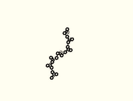 c1ccc(-n2c3ccccc3c3cc(-c4ccc5c(c4)c4ccccc4n5-c4ccc5c(c4)c4ccccc4n5-c4cccc(-c5cccc6oc7c(-c8ccc(-n9c%10ccccc%10c%10cc(-c%11ccc%12c(c%11)c%11ccccc%11n%12-c%11ccc(-c%12cccc%13c%12oc%12ccccc%12%13)cc%11)ccc%109)cc8)cccc7c56)c4)ccc32)cc1